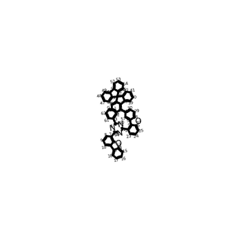 c1ccc(-c2nc(-c3cccc4c3oc3ccccc34)nc(-c3cccc4oc5ccc(-c6cccc7c6-c6ccccc6C76c7ccccc7-c7ccccc76)cc5c34)n2)cc1